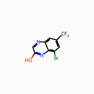 Oc1cnc2cc(C(F)(F)F)cc(Br)c2n1